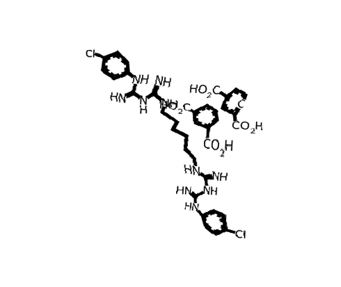 N=C(NCCCCCCNC(=N)NC(=N)Nc1ccc(Cl)cc1)NC(=N)Nc1ccc(Cl)cc1.O=C(O)c1cccc(C(=O)O)c1.O=C(O)c1cccc(C(=O)O)c1